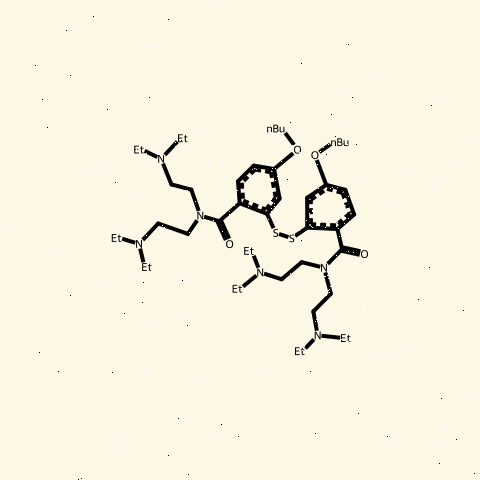 CCCCOc1ccc(C(=O)N(CCN(CC)CC)CCN(CC)CC)c(SSc2cc(OCCCC)ccc2C(=O)N(CCN(CC)CC)CCN(CC)CC)c1